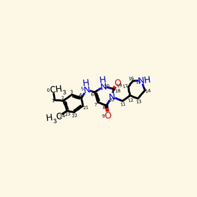 CCc1cc(Nc2cc(=O)n(CC3CCNCC3)c(=O)[nH]2)ccc1C